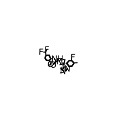 COc1ccc(C(F)F)cc1NC(=O)N1CC[C@@](c2ccc(C)c(F)c2)(c2ncns2)C1